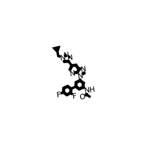 CC(=O)Nc1cc(-c2ccc(F)cc2F)cc(-n2cnc3cc(-c4cn(CC5CC5)nn4)cnc32)c1